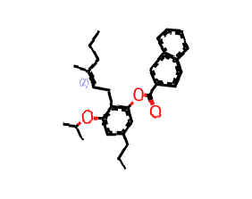 CCC/C(C)=C\Cc1c(OC(=O)c2ccc3ccccc3c2)cc(CCC)cc1OC(C)C